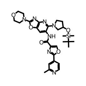 Cc1cc(-c2nc(C(=O)Nc3cc4oc(N5CCOCC5)nc4nc3N3CCC(O[Si](C)(C)C(C)(C)C)C3)co2)ccn1